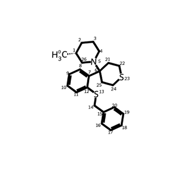 C[C@@H]1CCCN(C2(c3ccccc3SCc3ccccc3)CCSCC2)C1